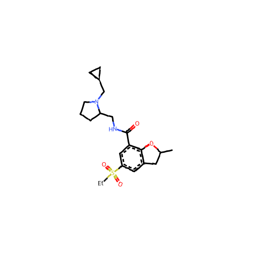 CCS(=O)(=O)c1cc2c(c(C(=O)NCC3CCCN3CC3CC3)c1)OC(C)C2